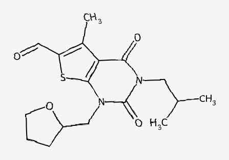 Cc1c(C=O)sc2c1c(=O)n(CC(C)C)c(=O)n2CC1CCCO1